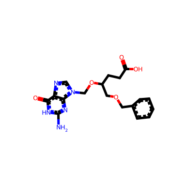 Nc1nc2c(ncn2COC(CCC(=O)O)COCc2ccccc2)c(=O)[nH]1